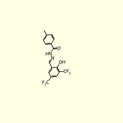 Cc1ccc(C(=O)N/N=C/c2cc(C(F)(F)F)cc(C(F)(F)F)c2O)cc1